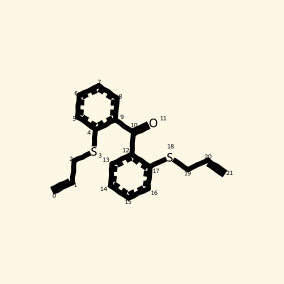 C=CCSc1ccccc1C(=O)c1ccccc1SCC=C